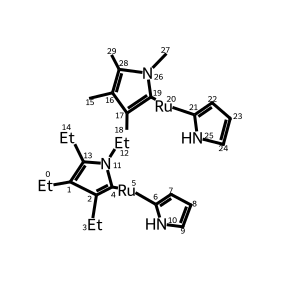 CCc1c(CC)[c]([Ru][c]2ccc[nH]2)n(CC)c1CC.Cc1c(C)[c]([Ru][c]2ccc[nH]2)n(C)c1C